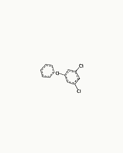 Clc1[c]c(Cl)cc(Cl)c1.c1ccccc1